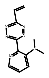 C=Cc1nnc(-c2ncccc2N(C)C)nn1